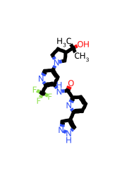 CC(C)(O)C1CCN(c2cnc(C(F)(F)F)c(NC(=O)c3cccc(-c4cn[nH]c4)n3)c2)C1